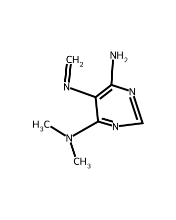 C=Nc1c(N)ncnc1N(C)C